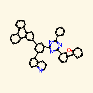 c1ccc(-c2nc(-c3cc(-c4ccc5c6ccccc6c6ccccc6c5c4)cc(-c4cccc5ncccc45)c3)nc(-c3cccc4c3oc3ccccc34)n2)cc1